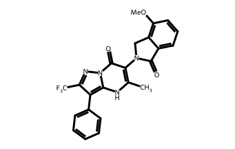 COc1cccc2c1CN(c1c(C)[nH]c3c(-c4ccccc4)c(C(F)(F)F)nn3c1=O)C2=O